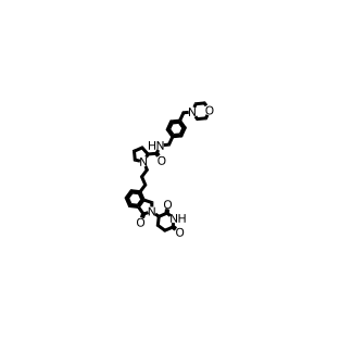 O=C1CCC(N2Cc3c(CCCN4CCCC4C(=O)NCc4ccc(CN5CCOCC5)cc4)cccc3C2=O)C(=O)N1